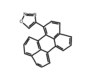 c1cc2cccc3c4c(-c5conn5)ccc5cccc(c(c1)c23)c54